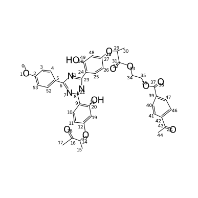 COc1ccc(-c2nc(-c3ccc(OC(C)C(C)=O)cc3O)nc(-c3ccc(OC(C)C(=O)OCCOC(=O)c4ccc(C(C)=O)cc4)cc3O)n2)cc1